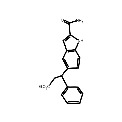 CCOC(=O)CC(c1ccccc1)c1ccc2[nH]c(C(N)=O)cc2c1